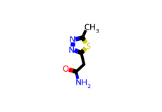 Cc1nnc(CC(N)=O)s1